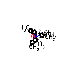 Cc1ccc2c3c(ccc2c1)N(c1c(C)cc(C(C)(C)C)cc1C)c1ccc2cc(C)ccc2c1O3